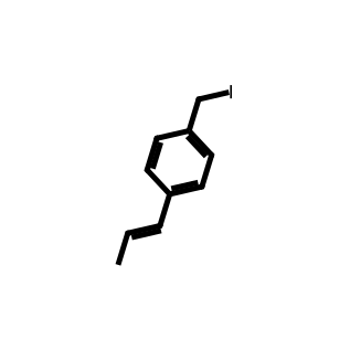 CC=Cc1ccc(CI)cc1